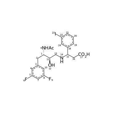 CC(=O)N[C@@H](Cc1cc(F)cc(F)c1)[C@H](O)CNC(CC(=O)O)c1cccc(I)c1